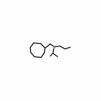 CCCN(CC1CCCCCCC1)C(C)C